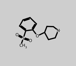 CS(=O)(=O)c1ccccc1OC1CC[N]CC1